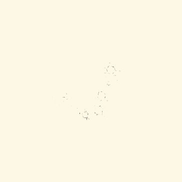 C[Si](C)(C)CCOCn1cnc(-c2cccc(-c3ccc(CNC4Cc5ccccc5C4)cc3)c2)n1